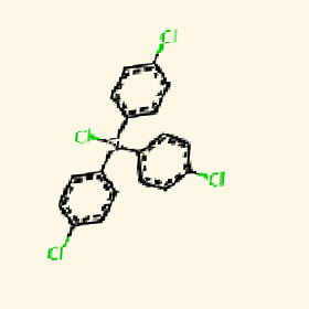 Clc1ccc([Si](Cl)(c2ccc(Cl)cc2)c2ccc(Cl)cc2)cc1